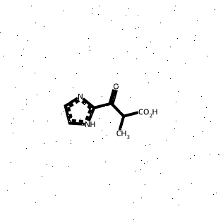 CC(C(=O)O)C(=O)c1ncc[nH]1